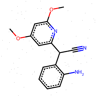 COc1cc(OC)nc(C(C#N)c2ccccc2N)c1